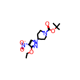 CCOc1nn(C2CCN(C(=O)OC(C)(C)C)CC2)cc1[N+](=O)[O-]